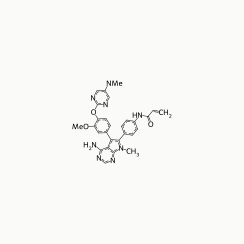 C=CC(=O)Nc1ccc(-c2c(-c3ccc(Oc4ncc(NC)cn4)c(OC)c3)c3c(N)ncnc3n2C)cc1